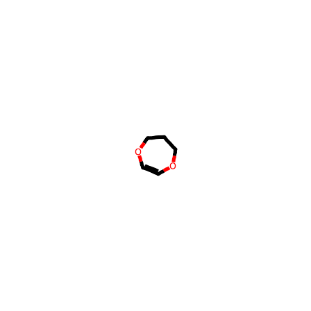 C1=COCCCO1